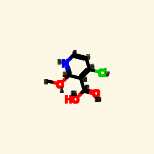 COc1nccc(Cl)c1C(=O)O